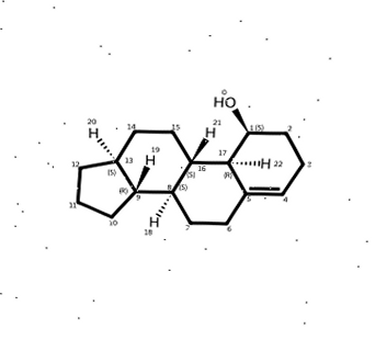 O[C@H]1CCC=C2CC[C@H]3[C@@H]4CCC[C@H]4CC[C@@H]3[C@H]21